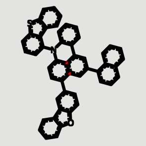 c1cc(-c2ccccc2N(c2ccc(-c3ccc4oc5ccccc5c4c3)cc2)c2cccc3sc4ccccc4c23)cc(-c2cccc3ccccc23)c1